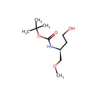 COC[C@H](CCO)NC(=O)OC(C)(C)C